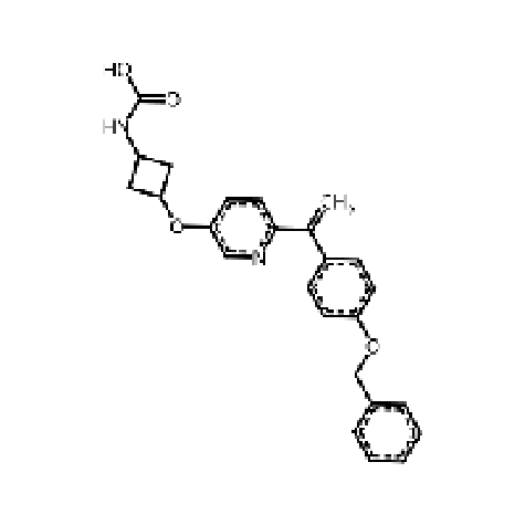 C=C(c1ccc(OCc2ccccc2)cc1)c1ccc(OC2CC(NC(=O)O)C2)cn1